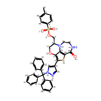 Cc1ccc(S(=O)(=O)OC[C@@H]2COc3c(-c4cnn(C(c5ccccc5)(c5ccccc5)c5ccccc5)c4)sc4c3N2CCNC4=O)cc1